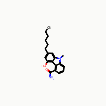 Cn1c2cc(CCCCCC#N)cc(O)c2c2c(C(N)=O)cccc21